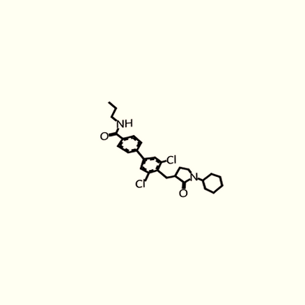 CCCNC(=O)c1ccc(-c2cc(Cl)c(CC3CCN(C4CCCCC4)C3=O)c(Cl)c2)cc1